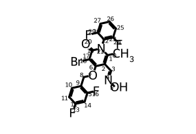 Cc1c(C=NO)c(OCc2ccc(F)cc2F)c(Br)c(=O)n1-c1c(F)cccc1F